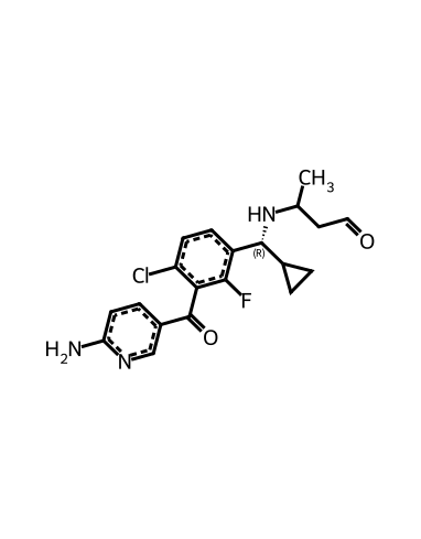 CC(CC=O)N[C@@H](c1ccc(Cl)c(C(=O)c2ccc(N)nc2)c1F)C1CC1